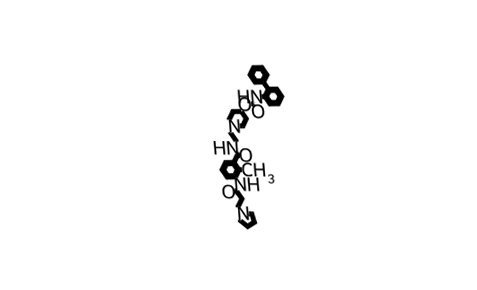 Cc1c(NC(=O)CCN2CCCC2)cccc1C(=O)NCCN1CCC(OC(=O)Nc2ccccc2-c2ccccc2)CC1